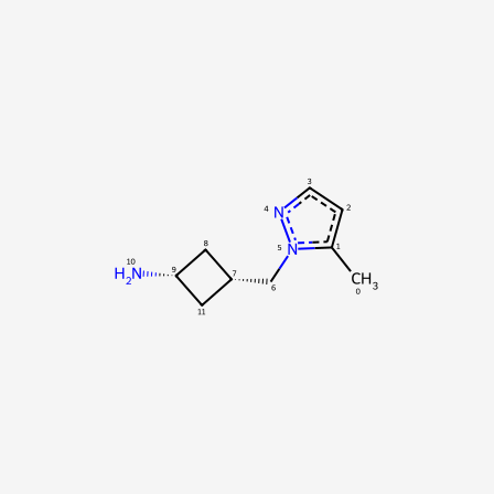 Cc1ccnn1C[C@H]1C[C@@H](N)C1